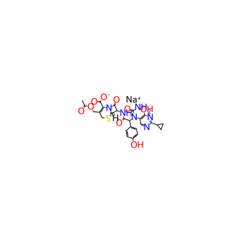 CC(=O)OCC1=C(C(=O)[O-])N2C(=O)C(NC(=O)C(c3ccc(O)cc3)N(C(N)=O)c3cnc(C4CC4)nc3O)[C@@H]2SC1.[Na+]